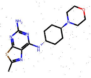 Cc1nc2c(N[C@H]3CC[C@H](N4CCOCC4)CC3)nc(N)nc2s1